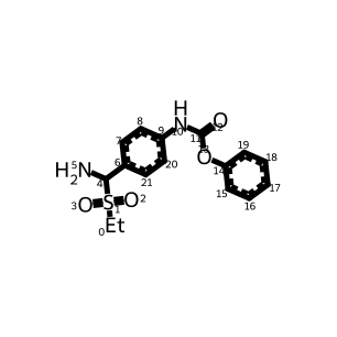 CCS(=O)(=O)C(N)c1ccc(NC(=O)Oc2ccccc2)cc1